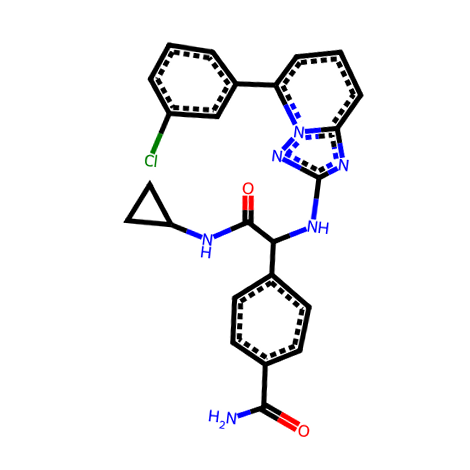 NC(=O)c1ccc(C(Nc2nc3cccc(-c4cccc(Cl)c4)n3n2)C(=O)NC2CC2)cc1